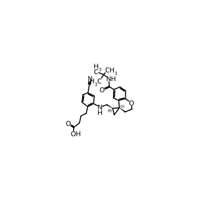 CC(C)(C)NC(=O)c1ccc2c(c1)[C@]1(CCO2)C[C@H]1CNc1cc(C#N)ccc1CCCC(=O)O